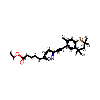 CCOC(=O)CCCCc1ccc(C#Cc2cc3c(cc2C)SC(C)(C)CC3(C)C)nc1